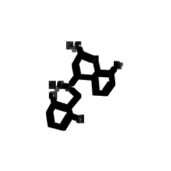 Cc1cc(N(C)Cc2c(Cl)cccc2Cl)c2cccc(Br)c2n1